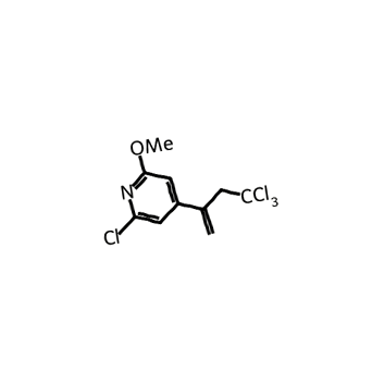 C=C(CC(Cl)(Cl)Cl)c1cc(Cl)nc(OC)c1